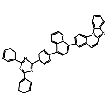 C1=CCCC(c2nc(C3=CCCC=C3)nc(C3C=CC(c4ccc(-c5ccc6c(ccc7nc8ccccc8n76)c5)c5ccccc45)=CC3)n2)=C1